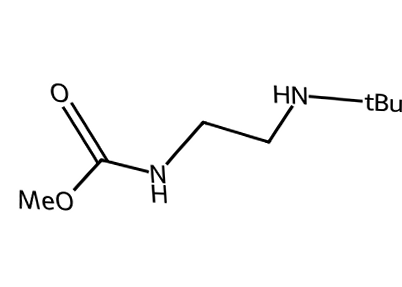 COC(=O)NCCNC(C)(C)C